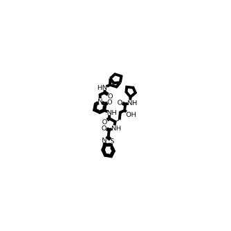 O=C(Cn1cccc(NC(=O)[C@H](CCC(O)C(=O)NC2CCCC2)NC(=O)c2nc3ccccc3s2)c1=O)NC1CC2CCC1C2